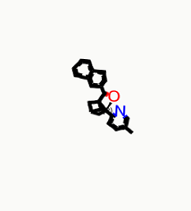 Cc1ccc([C@]2(C)CC3CC2(C(=O)c2ccc4ccccc4c2)C3)nc1